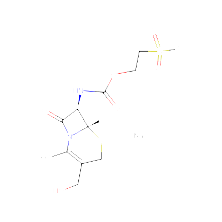 CS(=O)(=O)CCOC(=O)N[C@@H]1C(=O)N2C(C(=O)[O-])=C(CO)CS[C@@H]12.[Na+]